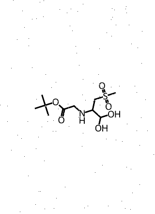 CC(C)(C)OC(=O)CNC(CS(C)(=O)=O)C(O)O